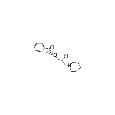 Cl/C(=N\OCC(Cl)CN1CCCCC1)c1ccccc1